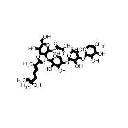 C=CC(C)(O)CC/C=C(\C)C(=O)OC1C(O)C(CO)OC(OC(=O)C(C)C)C1OC1OCC(OC2OCC(O)C(OC3OCC(C)C(O)C3O)C2O)C(O)C1O